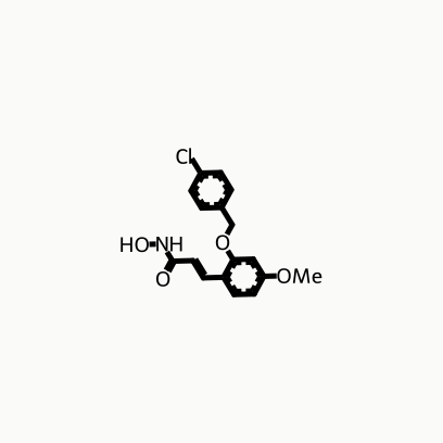 COc1ccc(/C=C/C(=O)NO)c(OCc2ccc(Cl)cc2)c1